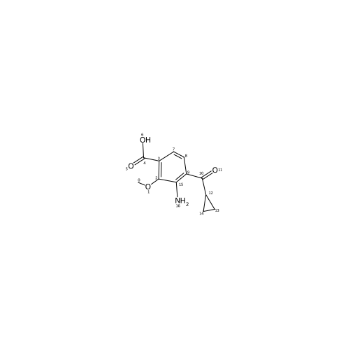 COc1c(C(=O)O)ccc(C(=O)C2CC2)c1N